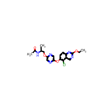 CCOc1ncc2c(Cl)c(Oc3cnc(OCC(C)NC(C)=O)cn3)ccc2n1